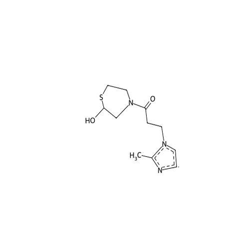 Cc1n[c]cn1CCC(=O)N1CCSC(O)C1